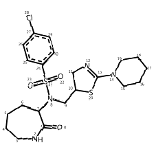 O=C1NCCCCC1N(CC1CN=C(N2CCCCC2)S1)S(=O)(=O)c1ccc(Cl)cc1